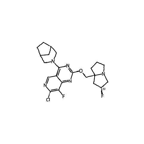 Fc1c(Cl)ncc2c(N3CC4CCC(C4)C3)nc(OCC34CCCN3C[C@@H](F)C4)nc12